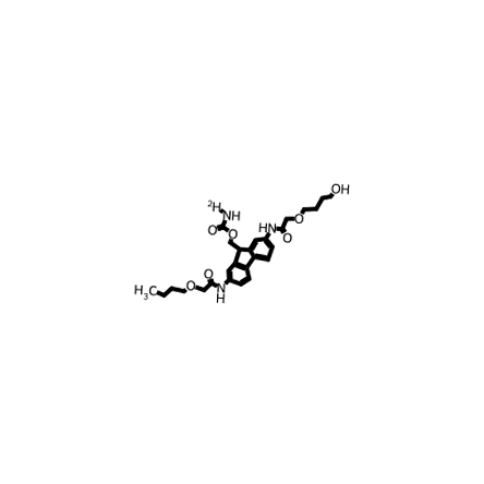 [2H]NC(=O)OCC1c2cc(NC(=O)COCCCC)ccc2-c2ccc(NC(=O)COCCCCO)cc21